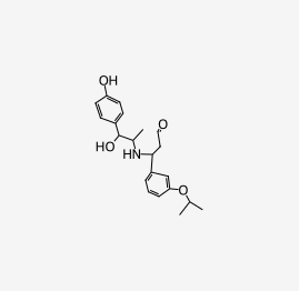 CC(C)Oc1cccc(C(CC=O)NC(C)C(O)c2ccc(O)cc2)c1